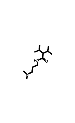 CC(C)C(C(=O)NCCCN(C)C)C(C)C